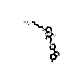 Cc1ccc2c(C3CCN(CCc4c(C)nc5n(c4=O)CCCC5OCCCCCC(=O)O)CC3)noc2c1